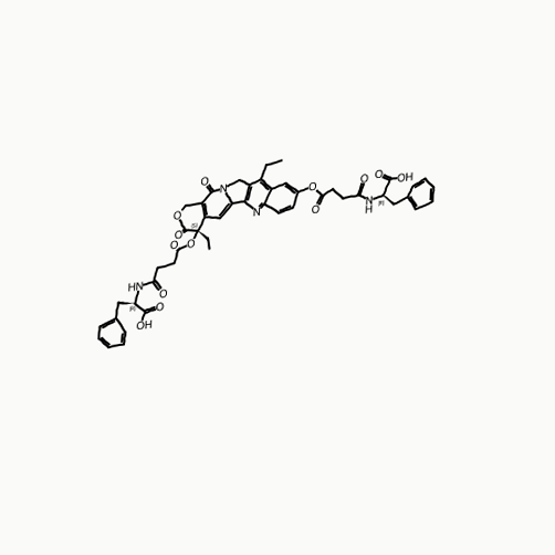 CCc1c2c(nc3ccc(OC(=O)CCC(=O)N[C@H](Cc4ccccc4)C(=O)O)cc13)-c1cc3c(c(=O)n1C2)COC(=O)[C@@]3(CC)OC(=O)CCC(=O)N[C@H](Cc1ccccc1)C(=O)O